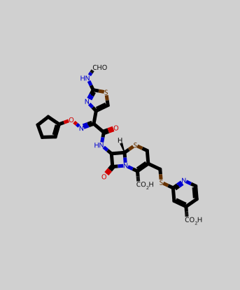 O=CNc1nc(C(=NOC2=CCCC2)C(=O)NC2C(=O)N3C(C(=O)O)=C(CSc4cc(C(=O)O)ccn4)CS[C@@H]23)cs1